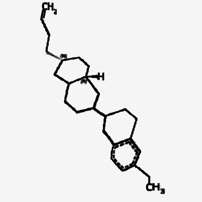 C=CCC[C@@H]1CC[C@@H]2CC(C3CCc4cc(CC)ccc4C3)CCC2C1